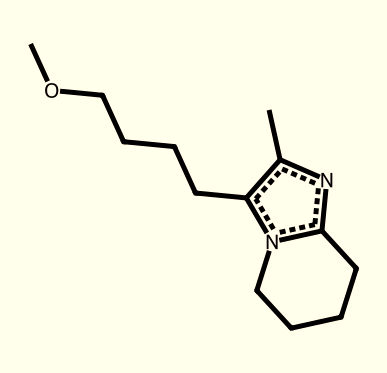 COCCCCc1c(C)nc2n1CCCC2